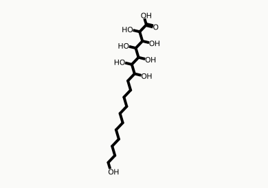 O=C(O)C(O)C(O)C(O)C(O)C(O)C(O)CCCCCCCCCCCO